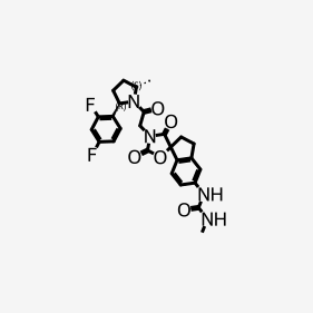 CNC(=O)Nc1ccc2c(c1)CCC21OC(=O)N(CC(=O)N2[C@@H](c3ccc(F)cc3F)CC[C@@H]2C)C1=O